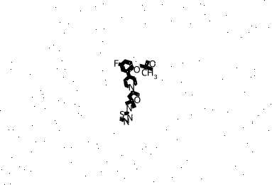 CC1(COc2ccc(F)cc2C2CCN(C3COC4(C3)CN(c3nncs3)C4)CC2)COC1